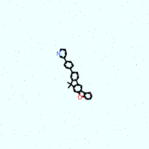 CC1(C)c2cc(-c3ccc(-c4cccnc4)cc3)ccc2-c2cc3c(cc21)oc1ccccc13